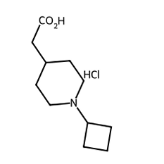 Cl.O=C(O)CC1CCN(C2CCC2)CC1